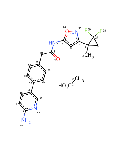 CC(=O)O.CC1(c2cc(NC(=O)Cc3ccc(-c4ccc(N)nc4)cc3)on2)CC1(F)F